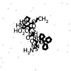 C=CCOC(=O)[C@@H](C(=C1CCNC1=O)C1=C(C(=O)O)N2C(=O)[C@@H](NC(=O)C(=NOC(c3ccccc3)(c3ccccc3)c3ccccc3)c3nsc(N)n3)[C@H]2SC1)C1CCCN1